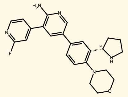 Nc1ncc(-c2ccc(N3CCOCC3)c([C@@H]3CCCN3)c2)cc1-c1ccnc(F)c1